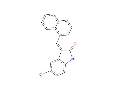 O=C1Nc2ccc(Cl)cc2/C1=C/c1cccc2ccccc12